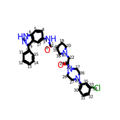 O=C(Nc1ccc2[nH]nc(-c3ccccc3)c2c1)[C@@H]1CCN(CC(=O)N2CCN(c3cccc(Cl)c3)CC2)C1